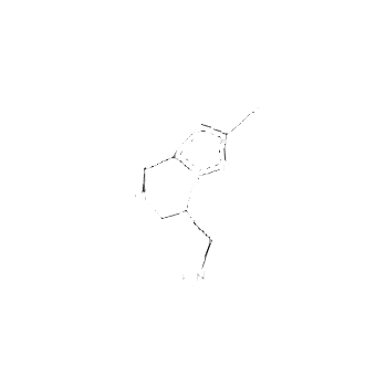 NCC1COCc2cc(Br)nn21